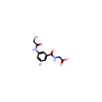 O=C([O-])CNC(=O)c1cccc(NC(=O)CS)c1.[K+]